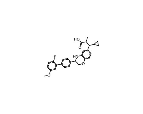 COc1ccc(F)c(-c2ccc(C3COc4ccc(C(C5CC5)C(C)C(=O)O)cc4N3)cc2)c1